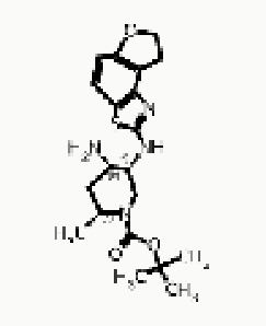 C[C@H]1C[C@@H](N)[C@@H](Nc2nc3c4c(ccc3s2)OCC4)CN1C(=O)OC(C)(C)C